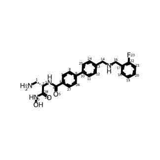 NC[C@H](NC(=O)c1ccc(-c2ccc(CNCc3ccccc3F)cc2)cc1)C(=O)NO